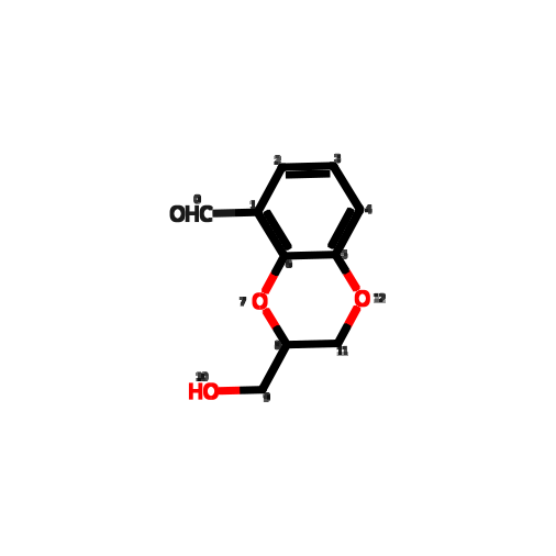 O=Cc1cccc2c1OC(CO)CO2